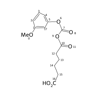 COc1cccc(OC(=O)OC(=O)CCCCC(=O)O)c1